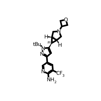 CC(C)(C)n1nc(-c2cnc(N)c(C(F)(F)F)c2)cc1[C@H]1[C@@H]2CN(C3COC3)C[C@@H]21